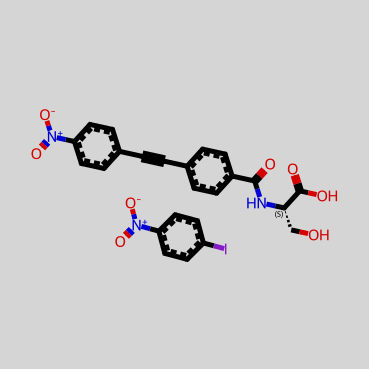 O=C(N[C@@H](CO)C(=O)O)c1ccc(C#Cc2ccc([N+](=O)[O-])cc2)cc1.O=[N+]([O-])c1ccc(I)cc1